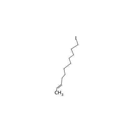 CC=CCCCCCCCCI